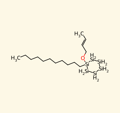 CC=CCO[Si]1(CCCCCCCCCCC)[SiH2][SiH2][SiH2][SiH2][SiH2]1